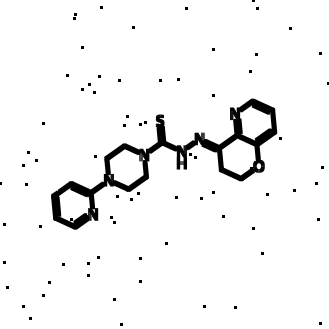 S=C(NN=C1CCOc2cccnc21)N1CCN(c2ccccn2)CC1